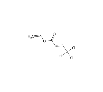 C=COC(=O)C=CC(Cl)(Cl)Cl